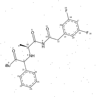 CCC(C)C(=O)C(N[C@@H](C)C(=O)NC(=O)Cc1cc(F)cc(F)c1)c1ccccc1